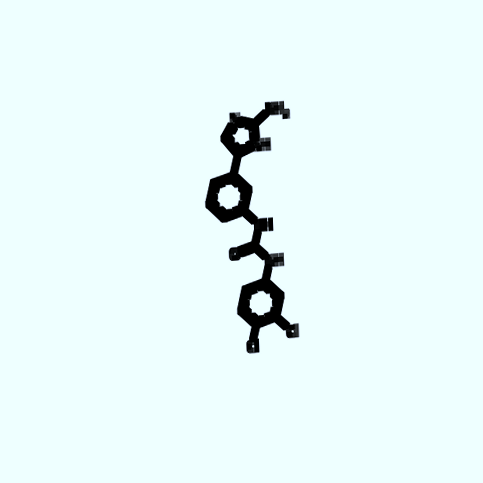 Nc1ncc(-c2cccc(NC(=O)Nc3ccc(Cl)c(Cl)c3)c2)[nH]1